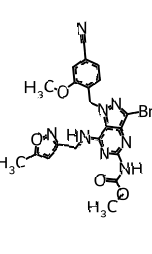 COC(=O)Nc1nc(NCc2cc(C)on2)c2c(n1)c(Br)nn2Cc1ccc(C#N)cc1OC